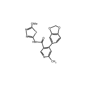 COc1nnc(NC(=O)c2cnc(C)cc2-c2ccc3c(c2)OCO3)s1